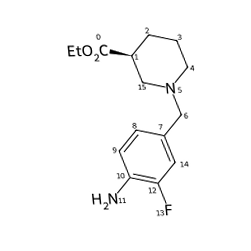 CCOC(=O)[C@H]1CCCN(Cc2ccc(N)c(F)c2)C1